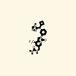 CN(C)C(=O)N(C)Cc1cc(C(F)(F)F)c2cn(-c3cccc([C@H](c4nncn4C)C4CCC4)c3)c(=O)n2c1